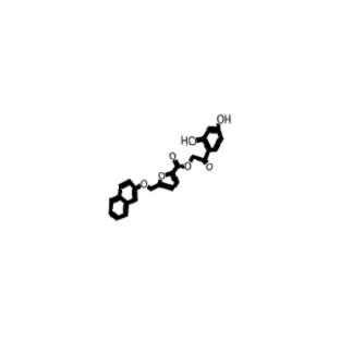 O=C(OCC(=O)c1ccc(O)cc1O)c1ccc(COc2ccc3ccccc3c2)o1